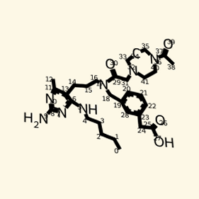 CCCCCNc1nc(N)nc(C)c1CCCN(Cc1cccc(CC(=O)O)c1)C(=O)CN1CCCN(C(C)=O)CC1